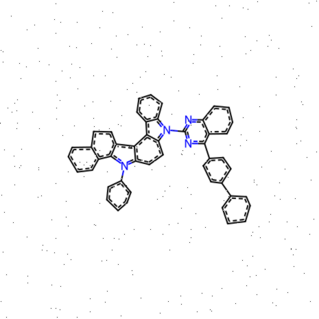 c1ccc(-c2ccc(-c3nc(-n4c5ccccc5c5c6c7ccc8ccccc8c7n(-c7ccccc7)c6ccc54)nc4ccccc34)cc2)cc1